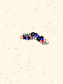 COC(=O)C(C)(C)CN1CC(Oc2c(C#N)ccc3cn(Cc4c(OC)cc(C)c5c4ccn5C(=O)OC(C)(C)C)nc23)C1